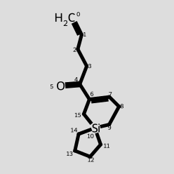 C=CCCC(=O)C1=CCC[Si]2(CCCC2)C1